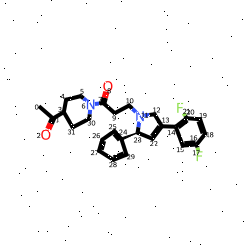 CC(=O)C1CCN(C(=O)CCN2CC(c3cc(F)ccc3F)=C[C@H]2c2ccccc2)CC1